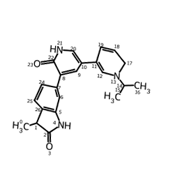 CC1C(=O)Nc2cc(-c3cc(C4=CN(C(C)C)CC=C4)c[nH]c3=O)ccc21